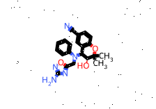 CC1(C)Oc2ccc(C#N)cc2C(N(Cc2nc(N)no2)c2ccccc2)[C@H]1O